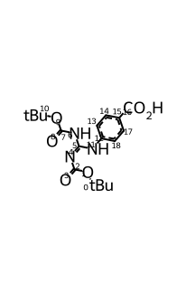 CC(C)(C)OC(=O)N=C(NC(=O)OC(C)(C)C)Nc1ccc(C(=O)O)cc1